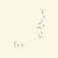 N=C/C=C\Nc1ccc(-c2cnc(CCCCCCC(=O)c3ncco3)[nH]2)c(F)c1